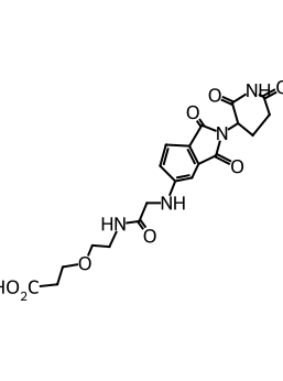 O=C(O)CCOCCNC(=O)CNc1ccc2c(c1)C(=O)N(C1CCC(=O)NC1=O)C2=O